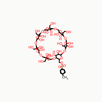 Cc1ccc(S(=O)(=O)OCC2OC3OC4C(CO)OC(OC5C(CO)OC(OC6C(CO)OC(OC7C(CO)OC(OC8C(CO)OC(OC9C(CO)OC(OC2C(O)C3O)C(O)C9O)C(O)C8O)C(O)C7O)C(O)C6O)C(O)C5O)C(O)C4O)cc1